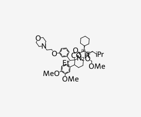 CCC(c1cccc(OCCN2CCOCC2)c1)C1(C(=O)O)C(c2ccc(OC)c(OC)c2)CCCN1C(=O)[C@@H](C1CCCCC1)[C@@H](CC(C)C)OCOC